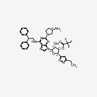 CCc1cc([C@H]2O[C@@H](n3cnc4c(NCC(c5ccccc5)c5ccccc5)nc(N5CC[C@@H](N)C5)nc43)[C@H](O)[C@@H]2OC(=O)C(F)(F)F)on1